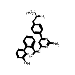 Nc1nc(OC(c2ccccc2-c2cccc(O)c2)C(F)(F)F)cc(-c2ccc(C[C@H](N)C(=O)O)cc2)n1